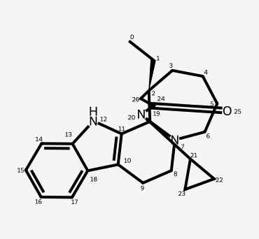 CC[C@@]12CCCCN3CCc4c([nH]c5ccccc45)[C@]31N(C1CC1)C(=O)C2